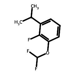 C[C](C)c1cccc(OC(F)F)c1F